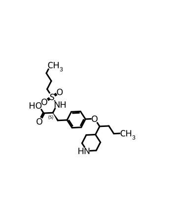 CCCCS(=O)(=O)N[C@@H](Cc1ccc(OC(CCC)C2CCNCC2)cc1)C(=O)O